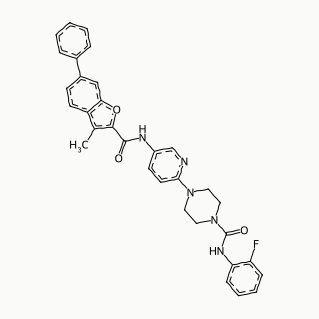 Cc1c(C(=O)Nc2ccc(N3CCN(C(=O)Nc4ccccc4F)CC3)nc2)oc2cc(-c3ccccc3)ccc12